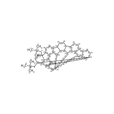 C[Si](C)(C)CC12C=CC3(C[Si](C)(C)C)c4ccc5c6ccc7c8c9c%10c%11c%12c%13c(ccc1c%13c1c2c3c2c4c5c(c86)c%10c2c1%11)C1C=CC7C9C%121